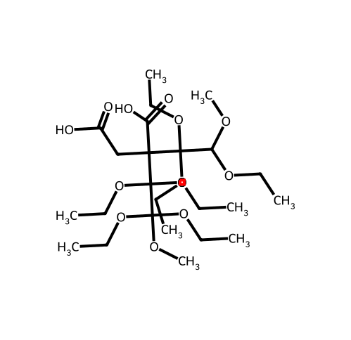 CCOC(OC)C(OCC)(OCC)C(CC(=O)O)(C(=O)O)C(OCC)(OCC)C(OC)(OCC)OCC